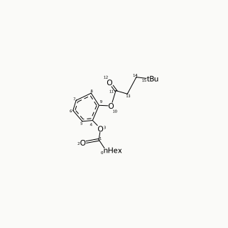 CCCCCCC(=O)Oc1ccccc1OC(=O)CCC(C)(C)C